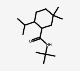 CC(C)C1CCC(C)(C)CC1C(=O)NC(C)(C)C